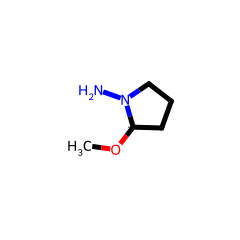 CO[C]1CCCN1N